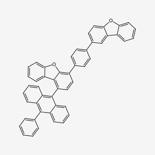 c1ccc(-c2c3ccccc3c(-c3ccc(-c4ccc(-c5ccc6oc7ccccc7c6c5)cc4)c4oc5ccccc5c34)c3ccccc23)cc1